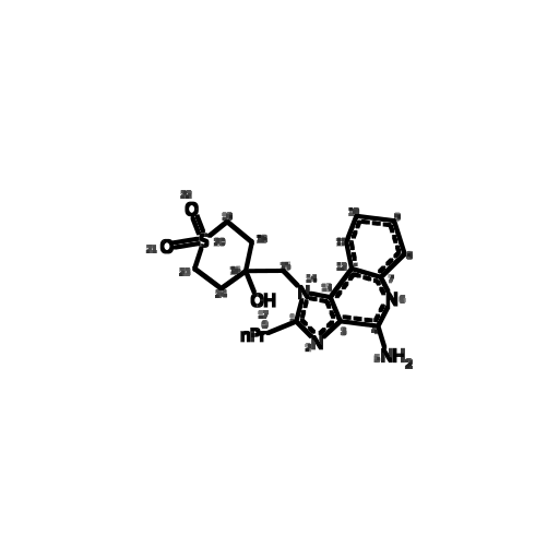 CCCc1nc2c(N)nc3ccccc3c2n1CC1(O)CCS(=O)(=O)CC1